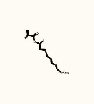 C=C(C)C(=O)OC(F)CCCCCCCCCCCCCCCC